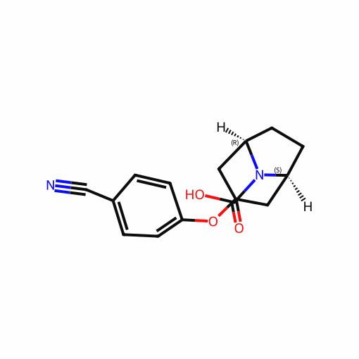 N#Cc1ccc(OC2C[C@H]3CC[C@@H](C2)N3C(=O)O)cc1